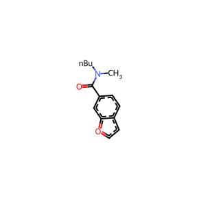 CCCCN(C)C(=O)c1ccc2ccoc2c1